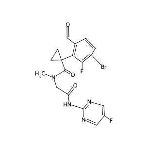 CN(CC(=O)Nc1ncc(F)cn1)C(=O)C1(c2c(C=O)ccc(Br)c2F)CC1